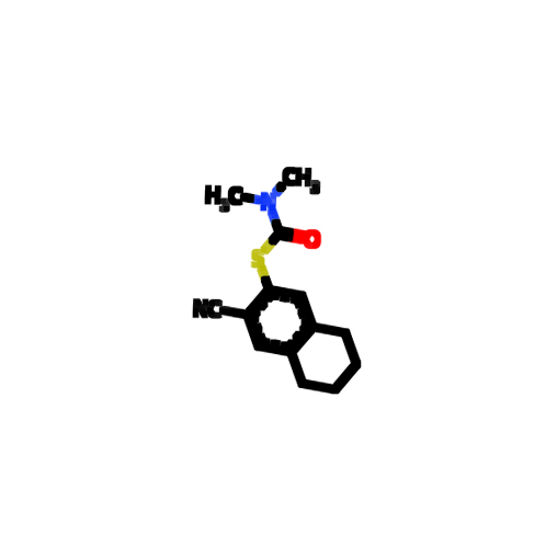 CN(C)C(=O)Sc1cc2c(cc1C#N)CCCC2